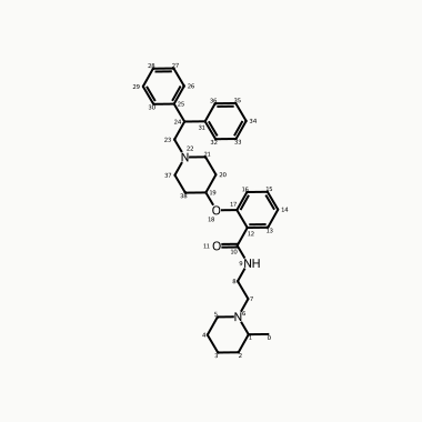 CC1CCCCN1CCNC(=O)c1ccccc1OC1CCN(CC(c2ccccc2)c2ccccc2)CC1